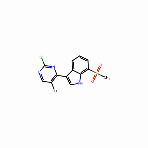 CCc1cnc(Cl)nc1-c1c[nH]c2c(S(C)(=O)=O)cccc12